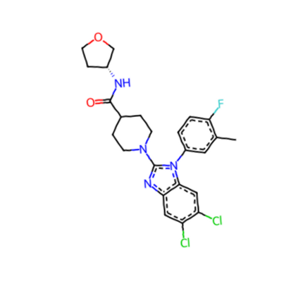 Cc1cc(-n2c(N3CCC(C(=O)N[C@@H]4CCOC4)CC3)nc3cc(Cl)c(Cl)cc32)ccc1F